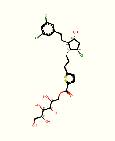 O=C(OC[C@H](O)[C@@H](O)[C@H](O)[C@H](O)CO)c1ccc(CCC[C@@H]2[C@@H](CCc3cc(Cl)cc(Cl)c3)[C@H](O)C[C@H]2Cl)s1